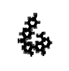 CC(C)N1CC=Cc2c(F)cc(-c3nc(Nc4ccc(C5CCN(C)CC5)nc4)ncc3F)cc21